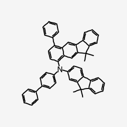 CC1(C)c2ccccc2-c2ccc(N(c3ccc(-c4ccccc4)cc3)c3ccc(-c4ccccc4)c4cc5c(cc34)C(C)(C)c3ccccc3-5)cc21